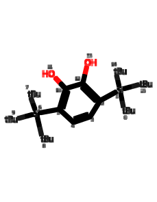 CC(C)(C)[Si](c1ccc([Si](C(C)(C)C)(C(C)(C)C)C(C)(C)C)c(O)c1O)(C(C)(C)C)C(C)(C)C